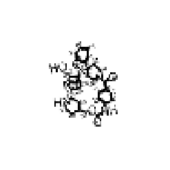 O=C(Nc1ccc(C(=O)N2CCC(c3ccccc3)(N(C(=O)O)C3CN4CCC3CC4)CC2)cc1)OCC1CCNCC1